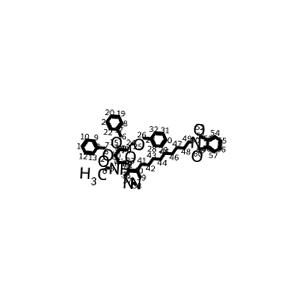 CC(=O)N[C@@H]1[C@@H](OCc2ccccc2)[C@@H](OCc2ccccc2)[C@@H](COCc2ccccc2)O[C@@H]1c1cnncc1CCCCCCCCCN1C(=O)c2ccccc2C1=O